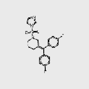 O=S(=O)(N1CCCC(=C(c2ccc(F)cc2)c2ccc(F)cc2)C1)n1ccnc1